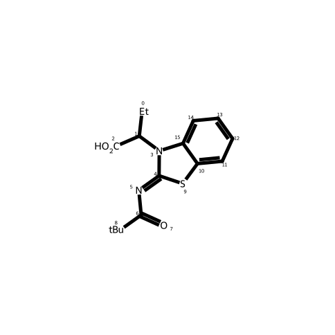 CCC(C(=O)O)n1/c(=N/C(=O)C(C)(C)C)sc2ccccc21